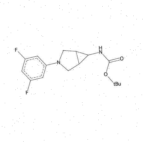 CC(C)(C)OC(=O)NC1C2CN(c3cc(F)cc(F)c3)CC21